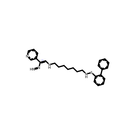 N=N/C(=C\NCCCCCCCNSc1ccccc1-c1ccccc1)c1cccnc1